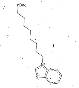 CCCCCCCCCCCCCCCCCC[n+]1csc2ccccc21.[I-]